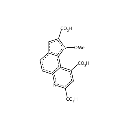 COn1c(C(=O)O)cc2ccc3nc(C(=O)O)cc(C(=O)O)c3c21